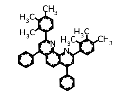 Cc1ccc(-c2cc(-c3ccccc3)c3ccc4c(-c5ccccc5)cc(-c5ccc(C)c(C)c5C)nc4c3n2)c(C)c1C